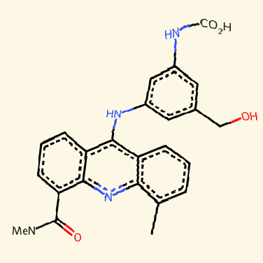 CNC(=O)c1cccc2c(Nc3cc(CO)cc(NC(=O)O)c3)c3cccc(C)c3nc12